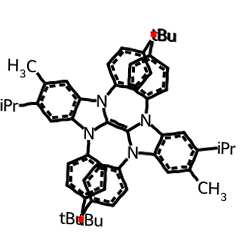 Cc1cc2c(cc1C(C)C)N(c1ccc(C(C)(C)C)cc1)/C(=C1\N(c3ccc(C(C)(C)C)cc3)c3cc(C)c(C(C)C)cc3N1c1ccc(C(C)(C)C)cc1)N2c1ccc(C(C)(C)C)cc1